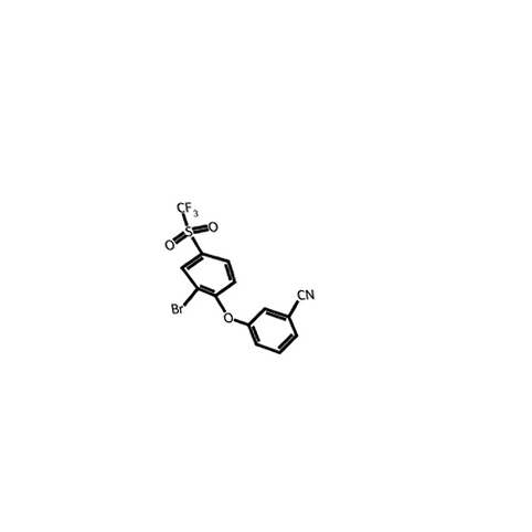 N#Cc1cccc(Oc2ccc(S(=O)(=O)C(F)(F)F)cc2Br)c1